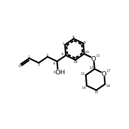 C=CCCC(O)c1cccc(OC2CCCCO2)c1